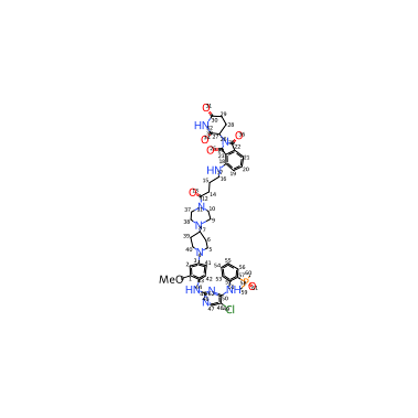 COc1cc(N2CCC(N3CCN(C(=O)CCCNc4cccc5c4C(=O)N(C4CCC(=O)NC4=O)C5=O)CC3)CC2)ccc1Nc1ncc(Cl)c(Nc2ccccc2P(C)(C)=O)n1